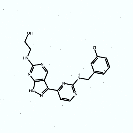 OCCNc1ncc2c(-c3ccnc(NCc4cccc(Cl)c4)n3)n[nH]c2n1